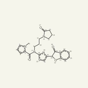 Cn1cccc1C(=O)N(CCCN1CCCC1=O)c1nc(C2Oc3ccccc3C2=O)cs1